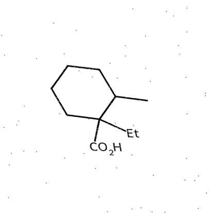 CCC1(C(=O)O)CCCCC1C